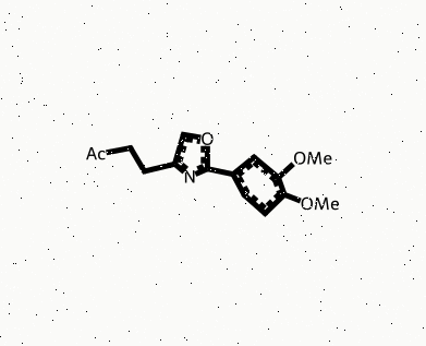 COc1ccc(-c2nc(CCC(C)=O)co2)cc1OC